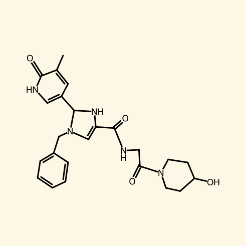 Cc1cc(C2NC(C(=O)NCC(=O)N3CCC(O)CC3)=CN2Cc2ccccc2)c[nH]c1=O